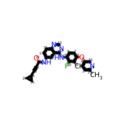 Cc1ccc(Oc2ccc(Nc3ncnc4ccc(NC(=O)C#CC5CC5)cc34)c(F)c2C)cn1